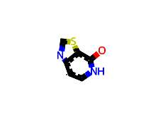 O=c1[nH]c[c]c2ncsc12